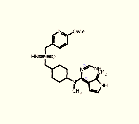 C=c1[nH]cc/c1=C(/N=C\N)N(C)C1CCC(CS(=N)(=O)Cc2ccc(OC)nc2)CC1